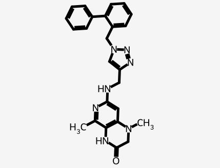 Cc1nc(NCc2cn(Cc3ccccc3-c3ccccc3)nn2)cc2c1NC(=O)CN2C